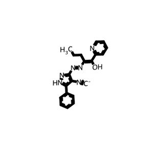 [C-]#[N+]c1c(/N=N/C(CCC)=C(\O)c2ccccn2)n[nH]c1-c1ccccc1